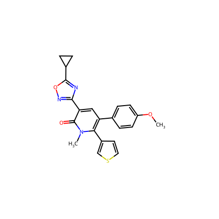 COc1ccc(-c2cc(-c3noc(C4CC4)n3)c(=O)n(C)c2-c2ccsc2)cc1